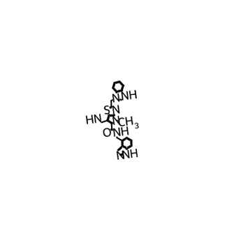 Cn1c(C(=O)NCc2cccc3[nH]ncc23)c(C=N)c2sc(CN3CNc4ccccc43)nc21